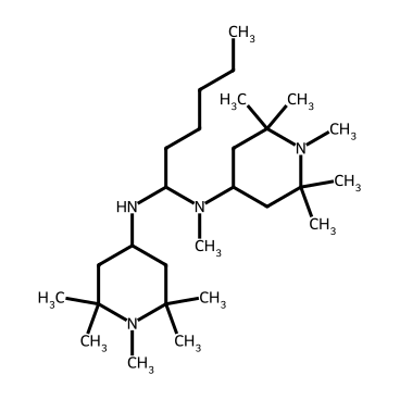 CCCCCC(NC1CC(C)(C)N(C)C(C)(C)C1)N(C)C1CC(C)(C)N(C)C(C)(C)C1